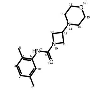 Cc1ccc(C)c(NC(=O)N2CC(N3CCOCC3)C2)c1